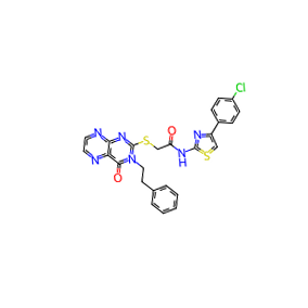 O=C(CSc1nc2nccnc2c(=O)n1CCc1ccccc1)Nc1nc(-c2ccc(Cl)cc2)cs1